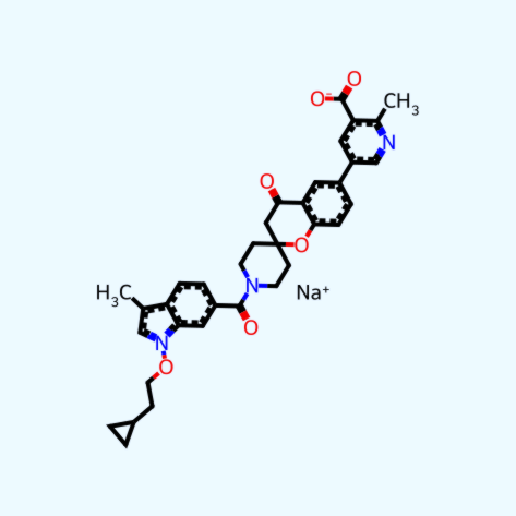 Cc1ncc(-c2ccc3c(c2)C(=O)CC2(CCN(C(=O)c4ccc5c(C)cn(OCCC6CC6)c5c4)CC2)O3)cc1C(=O)[O-].[Na+]